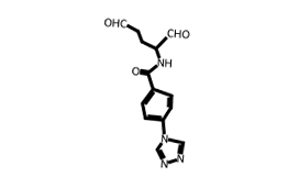 O=CCCC(C=O)NC(=O)c1ccc(-n2cnnc2)cc1